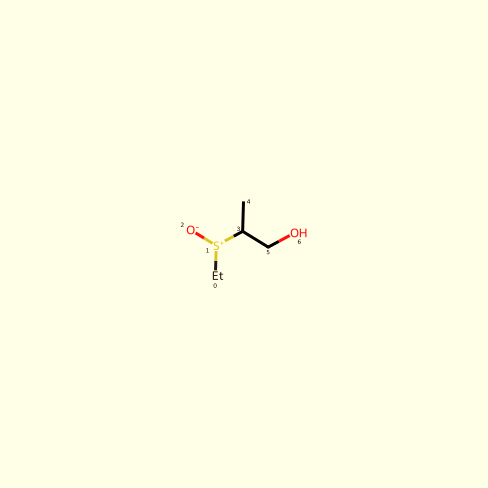 CC[S+]([O-])C(C)CO